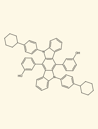 Oc1cccc(-c2c3c4ccccc4n(-c4ccc(C5CCCCC5)cc4)c3c(-c3cccc(O)c3)c3c4ccccc4n(-c4ccc(C5CCCCC5)cc4)c23)c1